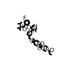 CCC(=O)N1CCN(S(=O)(=O)N2CCC3(CC2)CN(CC2CCN(c4ncncc4Oc4ccc(F)cc4C(=O)N(C(C)C)C(C)C)C2)C3)CC1